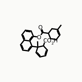 CC1=CCCC(C(=O)Oc2cccc3cccc(C4(C)C=CC=CC4C(=O)O)c23)C1